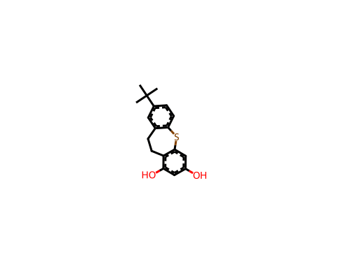 CC(C)(C)c1ccc2c(c1)CCc1c(O)cc(O)cc1S2